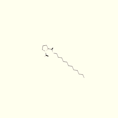 CCCCCCCCCCCCNC(=O)C1CCCN1C(=O)O